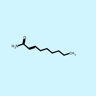 CCCCCCC=CC(N)=O